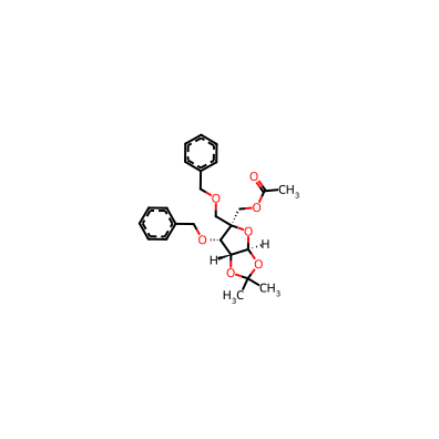 CC(=O)OC[C@]1(COCc2ccccc2)O[C@H]2OC(C)(C)O[C@@H]2[C@@H]1OCc1ccccc1